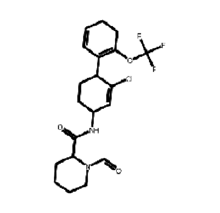 O=CN1CCCCC1C(=O)NC1C=C(Cl)C(C2=C(OC(F)(F)F)CCC=C2)CC1